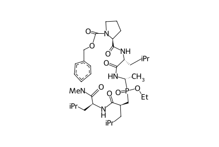 CCOP(=O)(C[C@@H](CC(C)C)C(=O)N[C@@H](CC(C)C)C(=O)NC)[C@@H](C)NC(=O)[C@@H](CC(C)C)NC(=O)[C@@H]1CCCN1C(=O)OCc1ccccc1